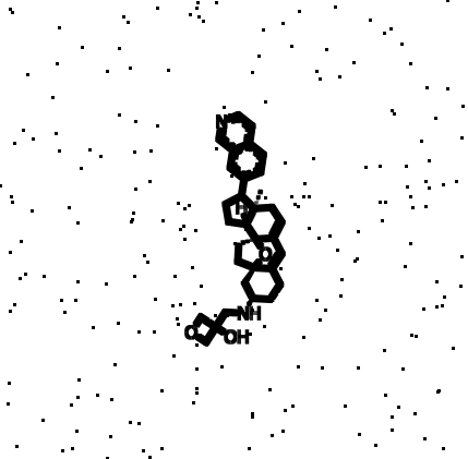 C[C@]12CC=C3C=C4CC[C@H](NCC5(O)COC5)C[C@]45CC[C@]3(O5)[C@@H]1CCC2c1ccc2ccncc2c1